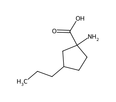 CCCC1CCC(N)(C(=O)O)C1